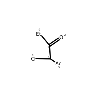 CCC(=O)C(Cl)C(C)=O